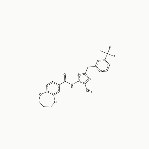 Cc1nc(Cc2cccc(C(F)(F)F)c2)sc1NC(=O)c1ccc2c(c1)OCCCO2